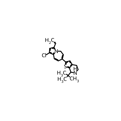 C=Cc1cc(Cl)c2n1CC=C(c1cc3c(s1)C(C(C)(C)C)NCC3)C=C2